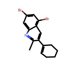 Cc1nc2cc(Br)cc(Br)c2cc1C1=CCCCC1